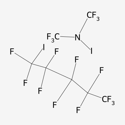 FC(F)(F)C(F)(F)C(F)(F)C(F)(F)C(F)(F)I.FC(F)(F)N(I)C(F)(F)F